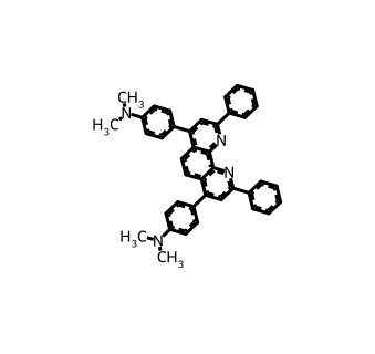 CN(C)c1ccc(-c2cc(-c3ccccc3)nc3c2ccc2c(-c4ccc(N(C)C)cc4)cc(-c4ccccc4)nc23)cc1